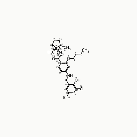 CCCCOc1cc(NCc2cc(Br)cc(Cl)c2O)ccc1C(=O)OC1CC2CCC1(C)C2(C)C